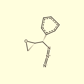 [N-]=[N+]=N[C@@H](c1ccccc1)[C@@H]1CO1